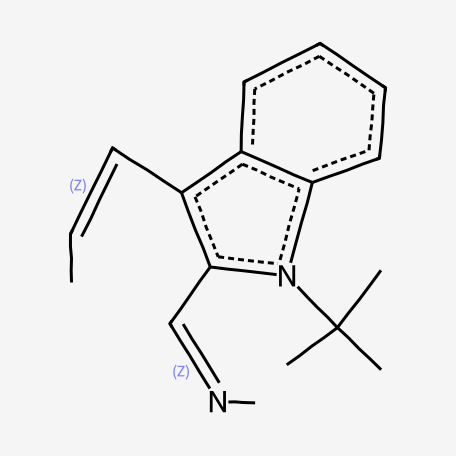 C/C=C\c1c(/C=N\C)n(C(C)(C)C)c2ccccc12